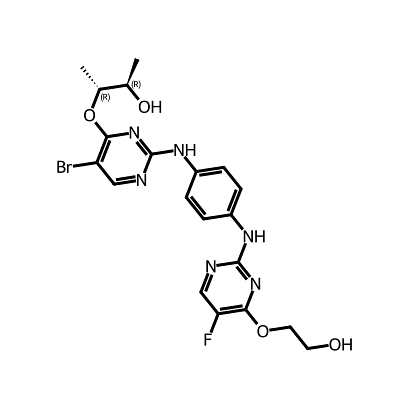 C[C@@H](O)[C@@H](C)Oc1nc(Nc2ccc(Nc3ncc(F)c(OCCO)n3)cc2)ncc1Br